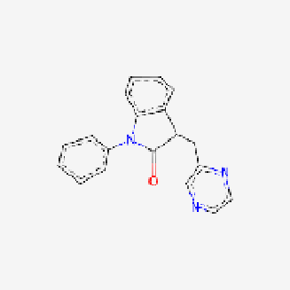 O=C1C(Cc2cnccn2)c2ccccc2N1c1ccccc1